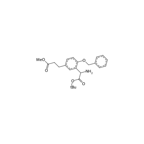 COC(=O)CCc1ccc(OCc2ccccc2)c(C(N)C(=O)OC(C)(C)C)c1